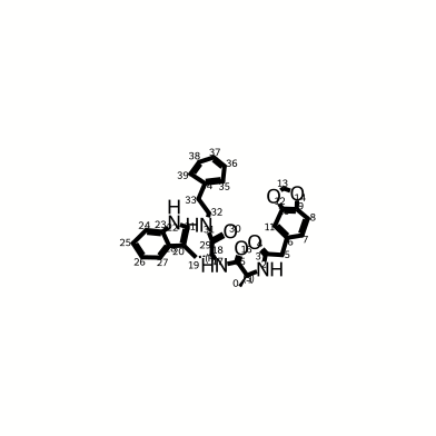 C[C@H](NC(=O)Cc1ccc2c(c1)OCO2)C(=O)N[C@H](Cc1c[nH]c2ccccc12)C(=O)NCCc1ccccc1